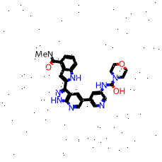 CNC(=O)c1cccc2[nH]c(-c3n[nH]c4ncc(-c5cncc(NC(O)N6CCOCC6)c5)cc34)cc12